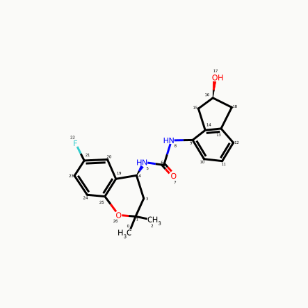 CC1(C)C[C@H](NC(=O)Nc2cccc3c2C[C@@H](O)C3)c2cc(F)ccc2O1